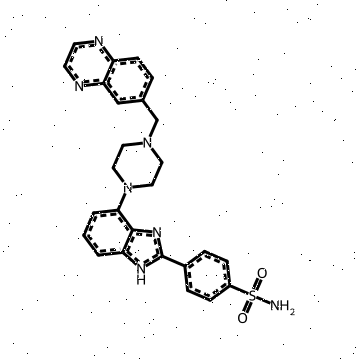 NS(=O)(=O)c1ccc(-c2nc3c(N4CCN(Cc5ccc6nccnc6c5)CC4)cccc3[nH]2)cc1